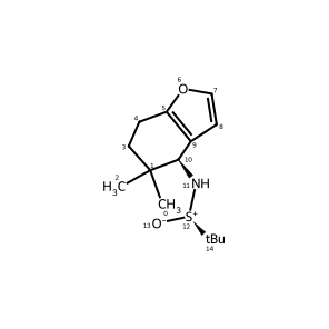 CC1(C)CCc2occc2[C@H]1N[S@+]([O-])C(C)(C)C